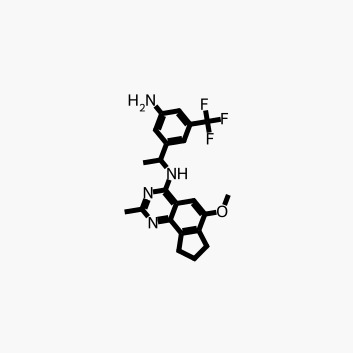 COc1cc2c(NC(C)c3cc(N)cc(C(F)(F)F)c3)nc(C)nc2c2c1CCC2